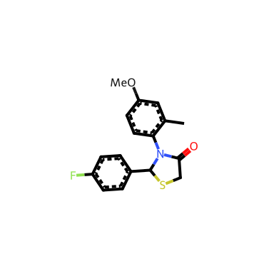 COc1ccc(N2C(=O)CSC2c2ccc(F)cc2)c(C)c1